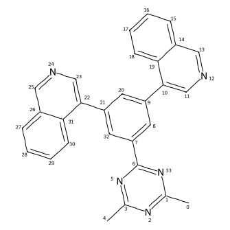 Cc1nc(C)nc(-c2cc(-c3cncc4ccccc34)cc(-c3cncc4ccccc34)c2)n1